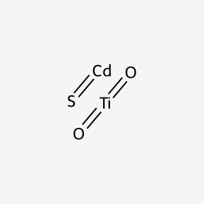 [O]=[Ti]=[O].[S]=[Cd]